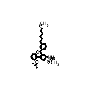 COCCCCCCc1cccc(C2Oc3cccc(OC(F)F)c3-c3ccc(NS(C)(=O)=O)cc32)c1